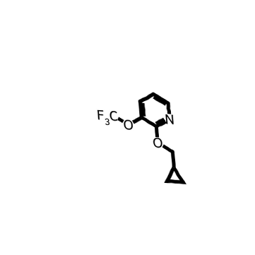 FC(F)(F)Oc1cccnc1OCC1CC1